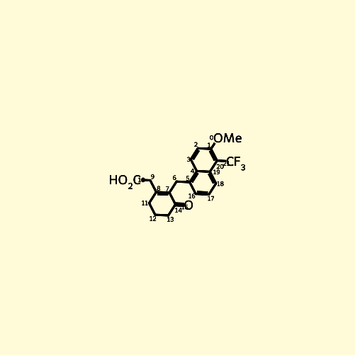 COc1ccc2c(CC3=C(CC(=O)O)CCCC3=O)cccc2c1C(F)(F)F